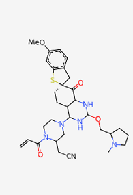 C=CC(=O)N1CCN(C2NC(OCC3CCCN3C)NC3C(=O)[C@]4(CCC32)Cc2ccc(OC)cc2S4)CC1CC#N